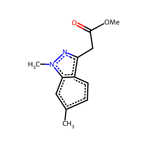 COC(=O)Cc1nn(C)c2cc(C)ccc12